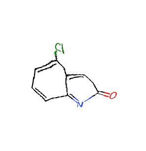 O=C1C=c2c(Cl)cccc2=N1